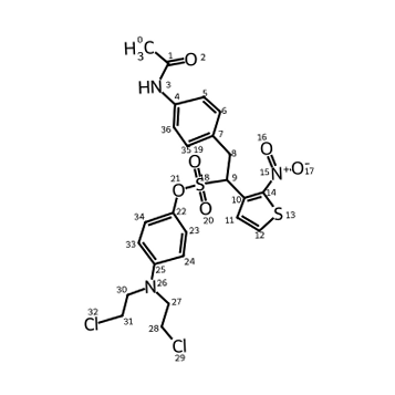 CC(=O)Nc1ccc(CC(c2ccsc2[N+](=O)[O-])S(=O)(=O)Oc2ccc(N(CCCl)CCCl)cc2)cc1